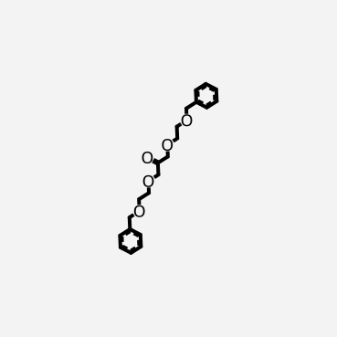 O=C(COCCOCc1ccccc1)COCCOCc1ccccc1